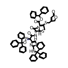 O=C1C=C(CSC2=C(C(=O)OC(c3ccccc3)c3ccccc3)N3C(=O)[C@@H](NC(=O)/C(=N/OC(c4ccccc4)(c4ccccc4)c4ccccc4)c4csc(NC(c5ccccc5)(c5ccccc5)c5ccccc5)n4)[C@H]3SC2)CO1